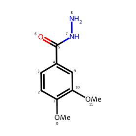 COc1ccc(C(=O)NN)cc1OC